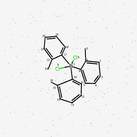 Cc1cccc[c]1[Bi]([Cl])([Cl])([c]1ccccc1C)[c]1ccccc1C